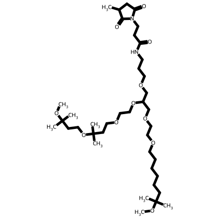 COC(C)(C)CCCCCCOCCOCC(COCCCNC(=O)CCN1C(=O)CC(C)C1=O)OCCOCCC(C)(C)OCCC(C)(C)OC